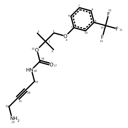 CC(C)(COc1cccc(C(F)(F)F)c1)OC(=O)NCC#CCN